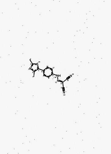 Cc1nc(C)c(-c2ccc(NN=C(C#N)C#N)cc2)s1